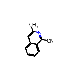 Cc1cc2ccccc2c(C#N)n1